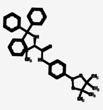 CO[C@@H](NC(c1ccccc1)(c1ccccc1)c1ccccc1)C(=O)Nc1ccc(B2OC(C)(C)C(C)(C)O2)cc1